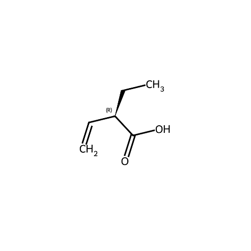 C=C[C@@H](CC)C(=O)O